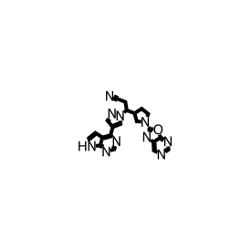 N#CCC(C1CCN(c2nc3cncnc3o2)C1)n1cc(-c2ncnc3[nH]ccc23)cn1